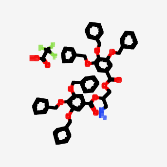 NCC(COC(=O)c1cc(OCc2ccccc2)c(OCc2ccccc2)c(OCc2ccccc2)c1)OC(=O)c1cc(OCc2ccccc2)c(OCc2ccccc2)c(OCc2ccccc2)c1.O=C(O)C(F)(F)F